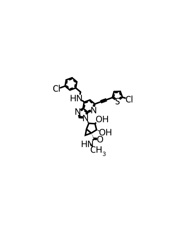 CNC(=O)[C@]12CC1[C@@H](n1cnc3c(NCc4cccc(Cl)c4)cc(C#Cc4ccc(Cl)s4)nc31)C(O)[C@@H]2O